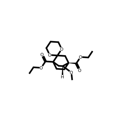 CCOC(=O)C12CC[C@@](C(=O)OCC)(CC13OCCCO3)[C@H](OC)C2